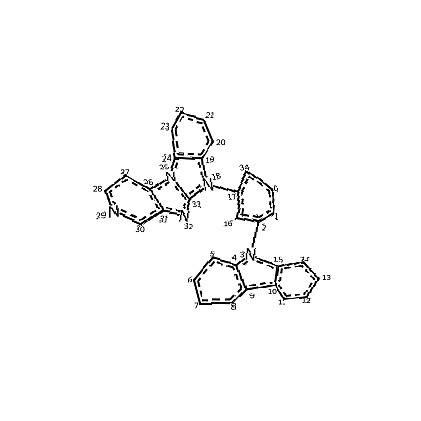 c1cc(-n2c3ccccc3c3ccccc32)cc(-n2c3ccccc3n3c4ccncc4nc23)c1